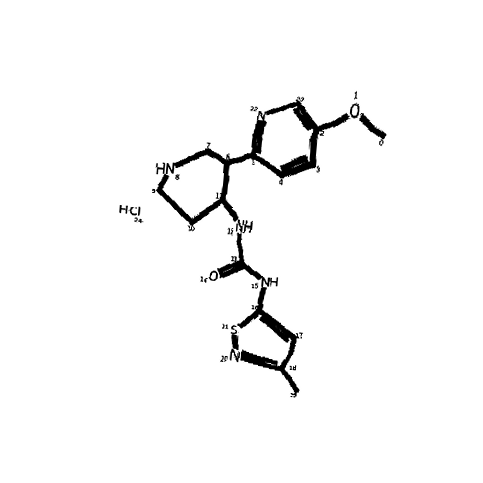 COc1ccc(C2CNCCC2NC(=O)Nc2cc(C)ns2)nc1.Cl